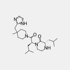 CC(C)C[C@@H]1NCCN([C@@H](CC(C)C)C(=O)N2CCC(C)(Cc3ncc[nH]3)CC2)C1=O